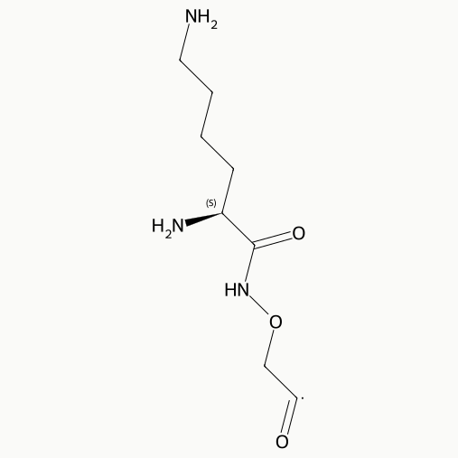 NCCCC[C@H](N)C(=O)NOC[C]=O